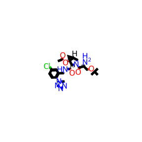 CC(=O)O[C@@]12C[C@H]1CN(C(=O)[C@H](N)COC(C)(C)C)[C@@H]2C(=O)NCc1cc(Cl)ccc1-n1cnnn1